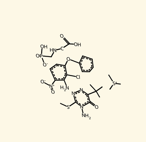 CSc1nnc(C(C)(C)C)c(=O)n1N.C[S+](C)C.Nc1c([N+](=O)[O-])ccc(Oc2ccccc2)c1Cl.O=C(O)CNCP(=O)([O-])O